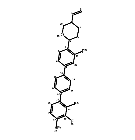 C=CC1CCC(c2ccc(-c3ccc(-c4ccc(CCC)c(F)c4F)cc3)cc2F)OC1